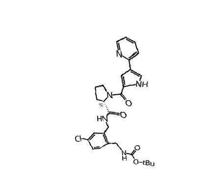 CC(C)(C)OC(=O)NCc1ccc(Cl)cc1CNC(=O)[C@@H]1CCCN1C(=O)c1cc(-c2ccccn2)c[nH]1